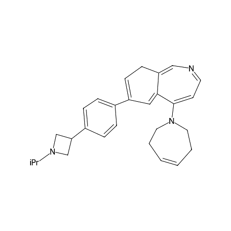 CC(C)N1CC(c2ccc(C3=CCC4=CN=CC=C(N5CCC=CCC5)C4=C3)cc2)C1